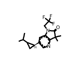 CC(C)C1C[C@@H]1c1cnc2c(c1)N(CC(F)(F)F)C(=O)C2(C)C